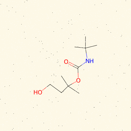 CC(C)(C)NC(=O)OC(C)(C)CCO